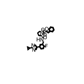 O=C(NCc1cc(-c2cnc(C3CC3)nc2)ccc1F)[C@@H]1CCCN1S(=O)(=O)c1cc2ccccc2o1